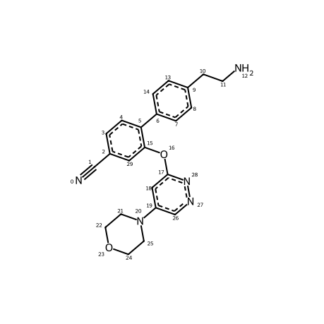 N#Cc1ccc(-c2ccc(CCN)cc2)c(Oc2cc(N3CCOCC3)cnn2)c1